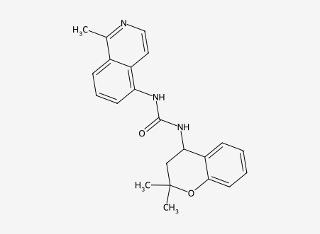 Cc1nccc2c(NC(=O)NC3CC(C)(C)Oc4ccccc43)cccc12